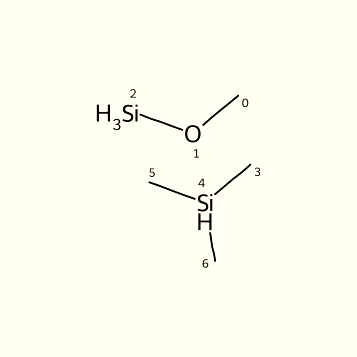 CO[SiH3].C[SiH](C)C